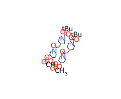 CC(C)(C)OC(=O)N1CCC(CC(=O)N2CCC(OS(C)(=O)=O)CC2)CC1.CC(C)(C)OC(=O)N1CCC(CC(=O)N2CCC(OS(C)(=O)=O)CC2)CC1